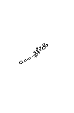 O=c1[nH]c(NCc2ccc(Cl)c(Cl)c2)nc2cnn(CCCOCCOCc3ccccc3)c12